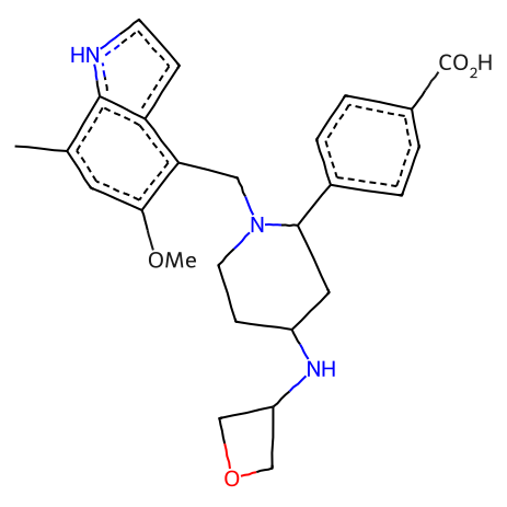 COc1cc(C)c2[nH]ccc2c1CN1CCC(NC2COC2)CC1c1ccc(C(=O)O)cc1